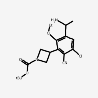 CCOc1c(C(C)N)cc(Cl)c(C#N)c1C1CN(C(=O)OC(C)(C)C)C1